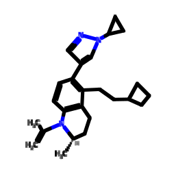 C=C(C)N1c2ccc(-c3cnn(C4CC4)c3)c(CCC3CCC3)c2CC[C@@H]1C